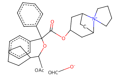 CC(=O)OC(OC(C(=O)OC1CC2CCC(C1)[N+]21CCCC1)(c1ccccc1)c1ccccc1)C1CCCC1.O=C[O-]